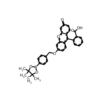 CC1(C)OB(c2ccc(COc3ccc4c(-c5ccccc5C(=O)O)c5ccc(=O)cc-5oc4c3)cc2)OC1(C)C